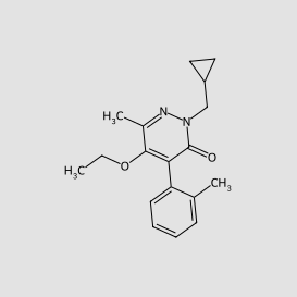 CCOc1c(C)nn(CC2CC2)c(=O)c1-c1ccccc1C